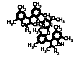 COc1nc(Oc2c(C)cc(C)cc2C(c2cc(C)cc(C)c2O)C(C)C)nc(Oc2c(C)cc(C)cc2C(c2cc(C)cc(C)c2O)C(C)C)n1